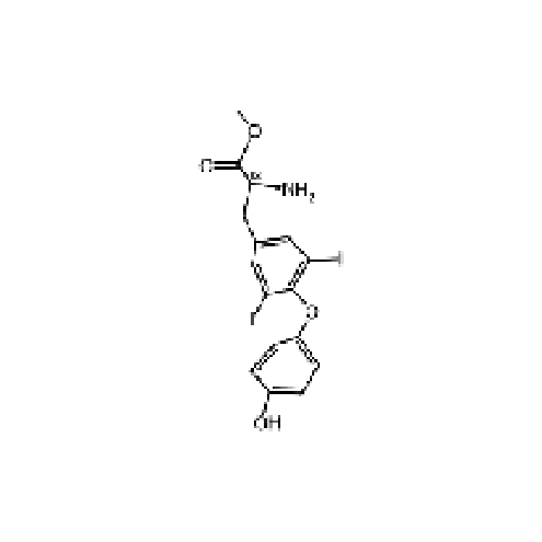 COC(=O)[C@@H](N)Cc1cc(I)c(Oc2ccc(O)cc2)c(I)c1